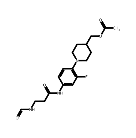 CC(=O)OCC1CCN(c2ccc(NC(=O)CCNC=O)cc2F)CC1